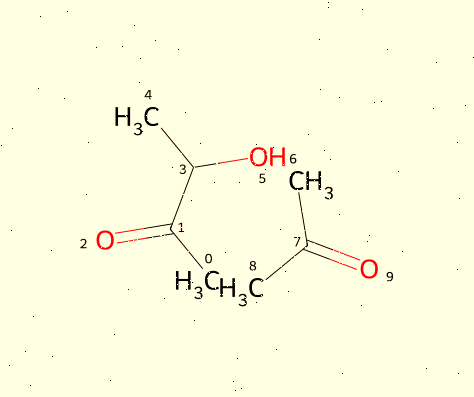 CC(=O)C(C)O.CC(C)=O